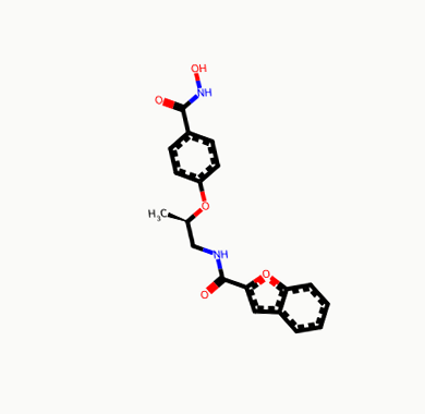 C[C@H](CNC(=O)c1cc2ccccc2o1)Oc1ccc(C(=O)NO)cc1